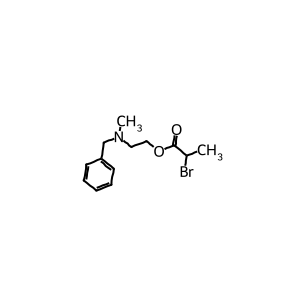 CC(Br)C(=O)OCCN(C)Cc1ccccc1